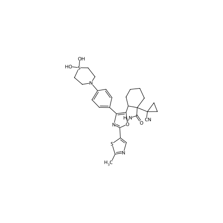 Cc1ncc(-c2nc(-c3ccc(N4CCS(O)(O)CC4)cc3)c(C3CCCCC3(C(N)=O)C3(C#N)CC3)o2)s1